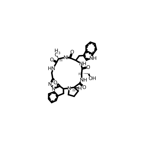 C[C@@H]1NC(=O)C(Cc2c[nH]c3ccccc23)NC(=O)[C@H](CO)NC(=O)[C@@H]2CCCN2C(Cc2ccccc2)c2nnc(o2)CNC1=O